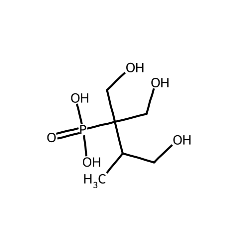 CC(CO)C(CO)(CO)P(=O)(O)O